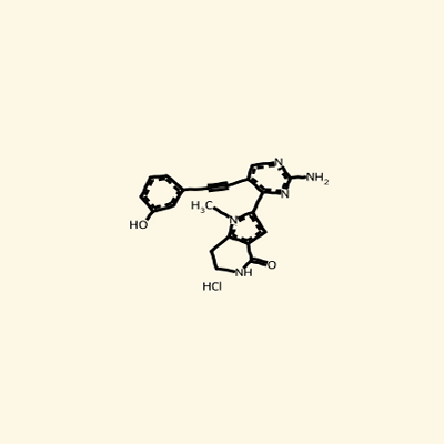 Cl.Cn1c(-c2nc(N)ncc2C#Cc2cccc(O)c2)cc2c1CCNC2=O